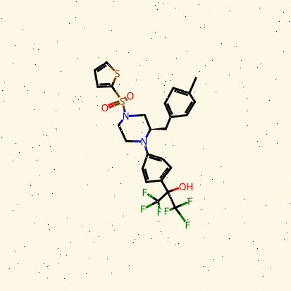 Cc1ccc(C[C@@H]2CN(S(=O)(=O)c3cccs3)CCN2c2ccc(C(O)(C(F)(F)F)C(F)(F)F)cc2)cc1